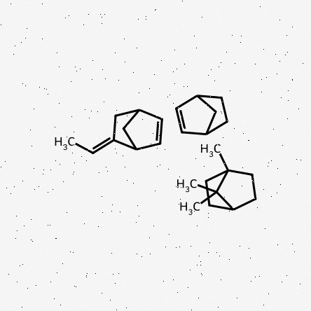 C1=CC2CCC1C2.CC12CCC(CC1)C2(C)C.CC=C1CC2C=CC1C2